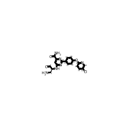 NC[C@@H](C=O)Nc1cc(C(N)=O)nc(-c2ccc(Oc3ccc(Cl)cn3)cc2)n1